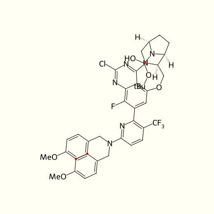 COc1ccc(CN(Cc2ccc(OC)cc2)c2ccc(C(F)(F)F)c(-c3cc4c5c(nc(Cl)nc5c3F)N3C[C@H]5CC[C@@H]([C@H]3CO4)N5C(O)OC(C)(C)C)n2)cc1